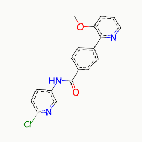 COc1cccnc1-c1ccc(C(=O)Nc2ccc(Cl)nc2)cc1